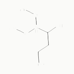 CCCCCCCCCCC(C)[SiH](OCCC)OCCC